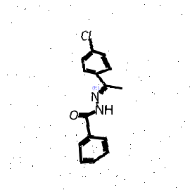 C/C(=N\NC(=O)c1ccccc1)c1ccc(Cl)cc1